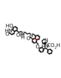 O=C(c1ccc(COc2cccc(C(c3ccccc3)N(C(=O)O)[C@H]3CN4CCC3CC4)c2)cc1)N(CCCNC[C@@H](O)c1ccc(O)c2[nH]c(=O)ccc12)Cc1ccccc1